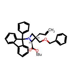 C=CC[C@]1(COCc2ccccc2)CN(C2(c3ccccc3)c3ccccc3-c3ccccc32)[C@@H]1C(=O)OC(C)(C)C